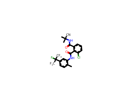 Cc1ccc(C(F)(C(F)(F)F)C(F)(F)F)cc1NC(=O)c1c(Cl)cccc1C(=O)NC(C)(C)C#N